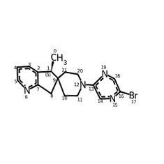 C[C@@H]1c2cccnc2CC12CCN(c1cnc(Br)cn1)CC2